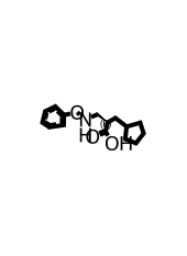 O=C(O)[C@@H](CNOc1ccccc1)CC1CCCC1